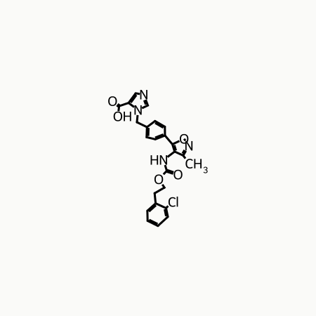 Cc1noc(-c2ccc(Cn3cncc3C(=O)O)cc2)c1NC(=O)OCCc1ccccc1Cl